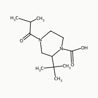 CC(C)C(=O)N1CCN(C(=O)O)C(C(C)(C)C)C1